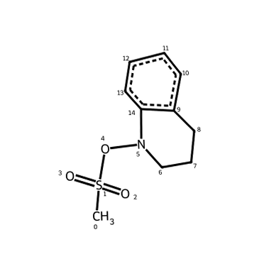 CS(=O)(=O)ON1CCCc2ccccc21